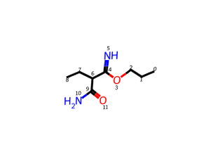 CCCOC(=N)C(CC)C(N)=O